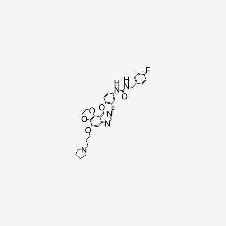 O=C(NCc1ccc(F)cc1)Nc1ccc(Oc2ncnc3cc(OCCCN4CCCC4)c4c(c23)OCCO4)c(F)c1